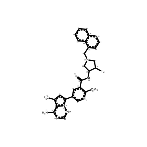 COc1ncc(-c2cc(C(F)(F)F)c3c(N)ncnn23)cc1C(=O)NC1CN(Cc2ccnc3ccccc23)CC1F